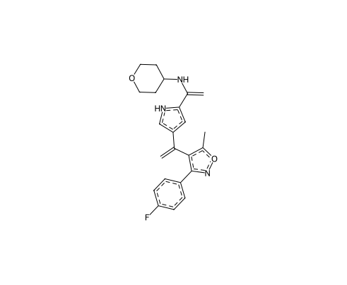 C=C(NC1CCOCC1)c1cc(C(=C)c2c(-c3ccc(F)cc3)noc2C)c[nH]1